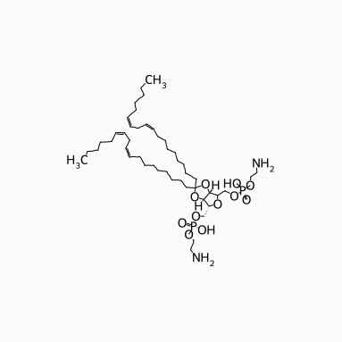 CCCCC/C=C\C/C=C\CCCCCCCCC1(CCCCCCCC/C=C\C/C=C\CCCCC)O[C@H]2[C@H](O1)C(COP(=O)(O)OCCN)O[C@@H]2COP(=O)(O)OCCN